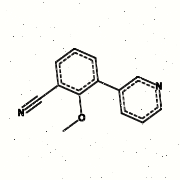 COc1c(C#N)cccc1-c1cccnc1